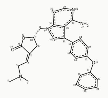 CN(C)CC=C1C[C@@H](Cn2nc(-c3ccc(Oc4ccccc4)cc3)c3c(N)ncnc32)OC1=O